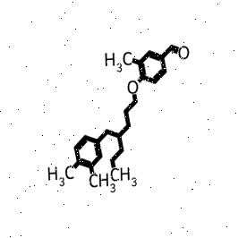 CCCC(CCCOc1ccc(C=O)cc1C)Cc1ccc(C)c(C)c1